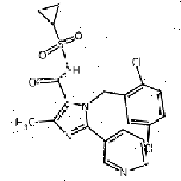 Cc1nc(-c2cccnc2)n(Cc2cc(Cl)ccc2Cl)c1C(=O)NS(=O)(=O)C1CC1